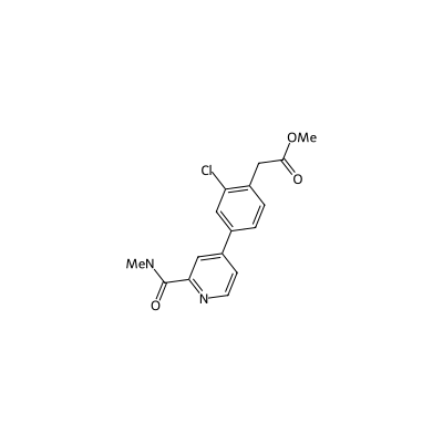 CNC(=O)c1cc(-c2ccc(CC(=O)OC)c(Cl)c2)ccn1